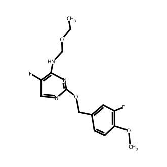 CCOCNc1nc(OCc2ccc(OC)c(F)c2)ncc1F